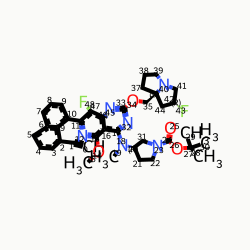 C#Cc1cccc2cccc(-c3nc(OC)c4c(N(C)[C@@H]5CCN(C(=O)OC(C)(C)C)C5)nc(OC[C@@]56CCCN5C[C@H](F)C6)nc4c3F)c12